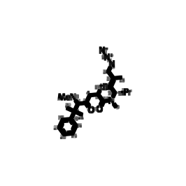 CNC(C(=O)CC(C(=O)N(C)[C@H](/C=C(\C)CN=[N+]=[N-])C(C)C)C(C)(C)C)C(C)(C)c1ccccc1